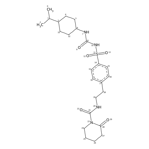 CC(C)C1CCC(NC(=O)NS(=O)(=O)c2ccc(CCNC(=O)N3CCCCC3=O)cc2)CC1